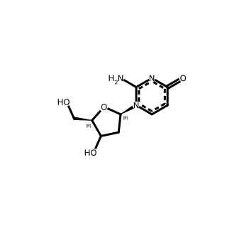 Nc1nc(=O)ccn1[C@H]1CC(O)[C@@H](CO)O1